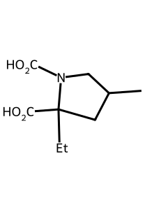 CCC1(C(=O)O)CC(C)CN1C(=O)O